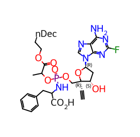 C#C[C@]1(COP(=O)(NC(Cc2ccccc2)C(=O)O)OC(C)C(=O)OCCCCCCCCCCCC)O[C@@H](n2cnc3c(N)nc(F)nc32)C[C@@H]1O